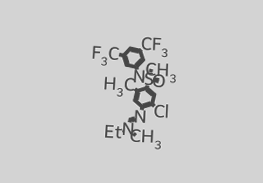 CCN(C)C=Nc1cc(C)c(S(C)(=O)=Nc2cc(C(F)(F)F)cc(C(F)(F)F)c2)cc1Cl